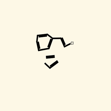 C=C.C=CC.ClC=Cc1ccccc1